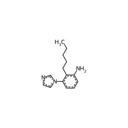 CCCCCc1c(N)cccc1-n1ccnc1